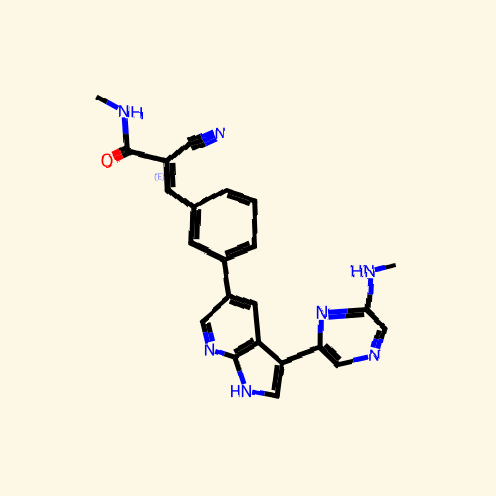 CNC(=O)/C(C#N)=C/c1cccc(-c2cnc3[nH]cc(-c4cncc(NC)n4)c3c2)c1